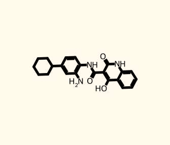 Nc1cc(C2CCCCC2)ccc1NC(=O)c1c(O)c2ccccc2[nH]c1=O